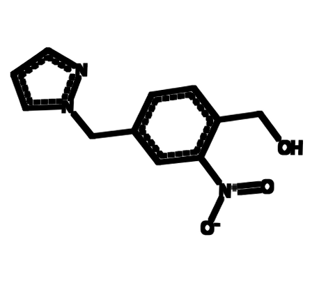 O=[N+]([O-])c1cc(Cn2cccn2)ccc1CO